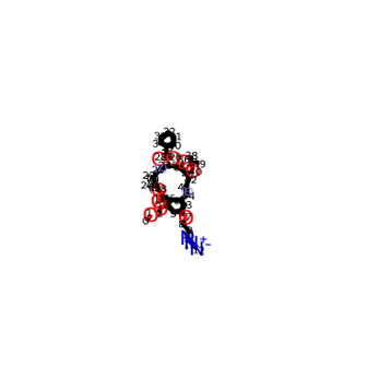 COCOc1cc(OCCN=[N+]=[N-])cc2c1C(=O)O[C@@H](C)[C@H](C)/C=C\C(OC(=O)c1ccccc1)C1OC(C)(C)OC1C/C=C/2